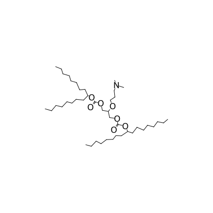 CCCCCCCCC(CCCCCCCC)OC(=O)OCC(COC(=O)OC(CCCCCCCC)CCCCCCCC)OCCCN(C)C